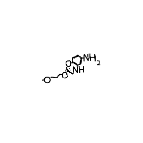 COCCCO[C@H]1CNc2cc(N)ccc2OC1